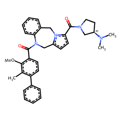 COc1c(C(=O)N2Cc3ccc(C(=O)N4CC[C@@H](N(C)C)C4)n3Cc3ccccc32)ccc(-c2ccccc2)c1C